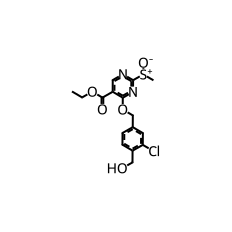 CCOC(=O)c1cnc([S+](C)[O-])nc1OCc1ccc(CO)c(Cl)c1